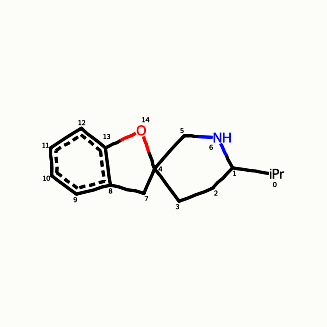 CC(C)C1CCC2(CN1)Cc1ccccc1O2